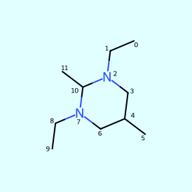 CCN1CC(C)CN(CC)C1C